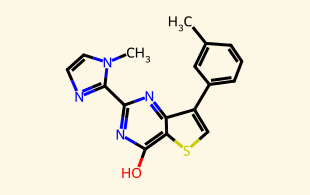 Cc1cccc(-c2csc3c(O)nc(-c4nccn4C)nc23)c1